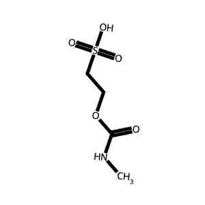 CNC(=O)OCCS(=O)(=O)O